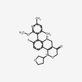 COc1nc(C)cc(C)c1-c1c(F)ccc2c1NCC1=C2[C@H](C2CCOC2)OCC1=O